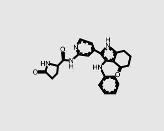 O=C1CCC(C(=O)Nc2cc(-c3[nH]c4c(c3Nc3ccccc3)C(=O)CCC4)ccn2)N1